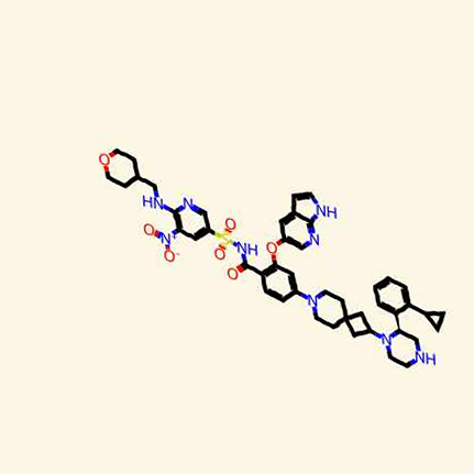 O=C(NS(=O)(=O)c1cnc(NCC2CCOCC2)c([N+](=O)[O-])c1)c1ccc(N2CCC3(CC2)CC(N2CCNC[C@@H]2c2ccccc2C2CC2)C3)cc1Oc1cnc2[nH]ccc2c1